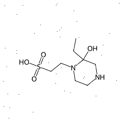 CCC1(O)CNCCN1CCS(=O)(=O)O